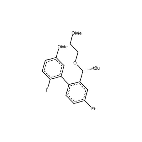 CCc1ccc(-c2cc(OC)ccc2F)c([C@H](OCCOC)C(C)(C)C)c1